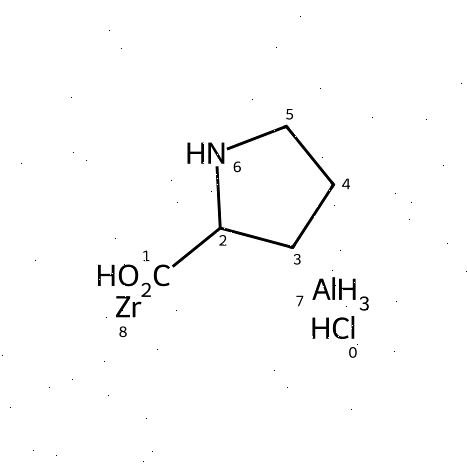 Cl.O=C(O)C1CCCN1.[AlH3].[Zr]